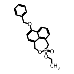 CCOP1(=O)Cc2cccc3c(OCc4ccccc4)ccc(c23)CO1